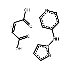 O=C(O)/C=C\C(=O)O.c1cnn(Nc2ccncc2)c1